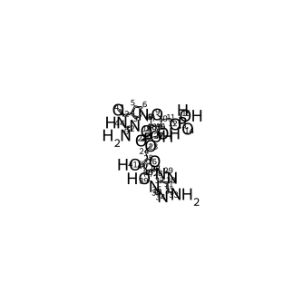 Nc1nc2c(ccn2[C@@H]2OC(CO[PH](=O)O)[C@@H](O)[C@H]2OP(=O)(O)OCC2O[C@@H](n3cnc4c(N)ncnc43)[C@H](O)[C@@H]2O)c(=O)[nH]1